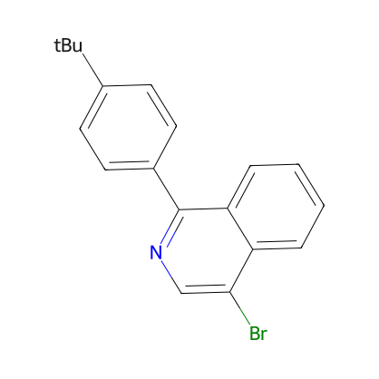 CC(C)(C)c1ccc(-c2ncc(Br)c3ccccc23)cc1